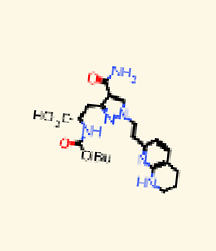 CC(C)COC(=O)N[C@@H](Cc1nn(CCc2ccc3c(n2)NCCC3)cc1C(N)=O)C(=O)O